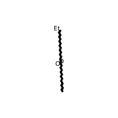 C/C=C/C=C/CCCCCCCCC(=O)OCCCCCCCCCC/C=C/C=C/CC